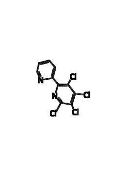 Clc1nc(-c2ccccn2)c(Cl)c(Cl)c1Cl